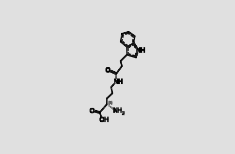 N[C@@H](CCCNC(=O)CCc1c[nH]c2ccccc12)C(=O)O